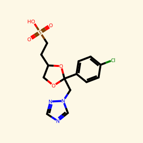 O=S(=O)(O)CCC1COC(Cn2cncn2)(c2ccc(Cl)cc2)O1